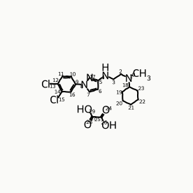 CN(CCNc1ccn(-c2ccc(Cl)c(Cl)c2)n1)C1CCCCC1.O=C(O)C(=O)O